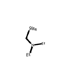 CCN(CC)CSC